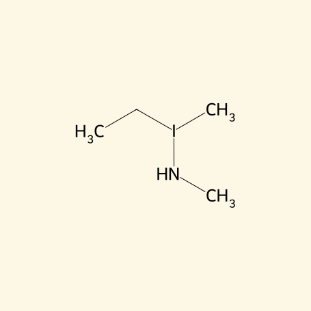 CCI(C)NC